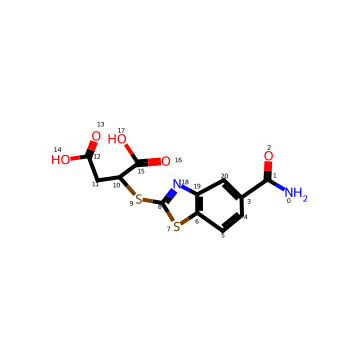 NC(=O)c1ccc2sc(SC(CC(=O)O)C(=O)O)nc2c1